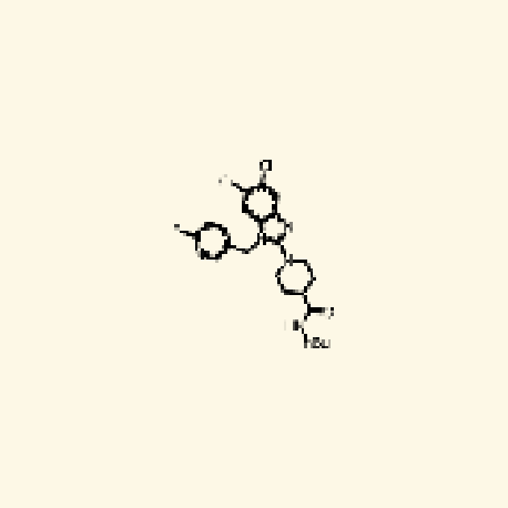 CCCCNC(=O)C1CCN(c2nc3cc(Cl)c(Cl)cc3n2Cc2ccc(F)nc2)CC1